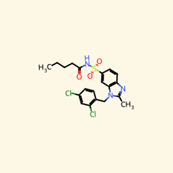 CCCCC(=O)NS(=O)(=O)c1ccc2nc(C)n(Cc3ccc(Cl)cc3Cl)c2c1